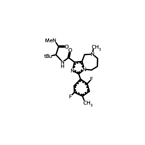 CNC(=O)C(NC(=O)c1nc(-c2cc(F)c(C)cc2F)n2c1CN(C)CCC2)C(C)(C)C